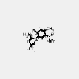 CCC[S+]([O-])c1cc(-n2nc(C(F)(F)F)nc2N)c(F)cc1C